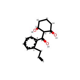 C=CCc1ccccc1C(=O)C1C(=O)CCCC1=O